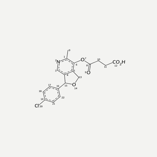 Cc1ncc2c(c1OC(=O)CCC(=O)O)COC2c1ccc(Cl)cc1